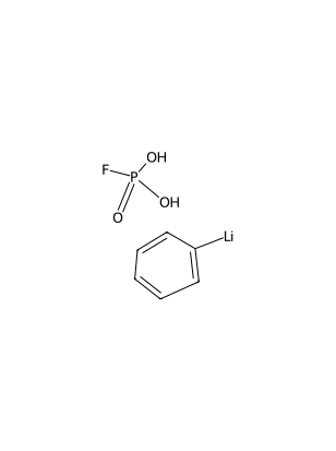 O=P(O)(O)F.[Li][c]1ccccc1